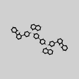 c1ccc2c(N(c3ccc(-c4ccc(N(c5ccc(-c6cccc7c6oc6ccccc67)cc5)c5cccc6ccccc56)cc4)cc3)c3ccc(-c4cccc5c4oc4ccccc45)cc3)cccc2c1